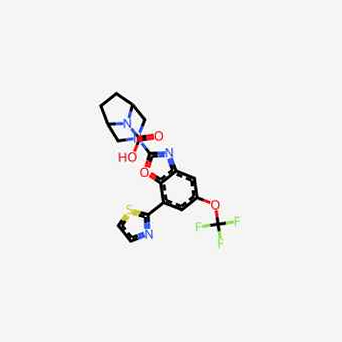 O=C(O)N1C2CCC1CN(c1nc3cc(OC(F)(F)F)cc(-c4nccs4)c3o1)C2